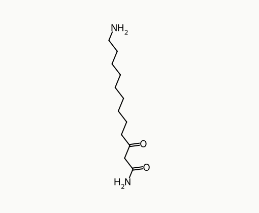 NCCCCCCCCCC(=O)CC(N)=O